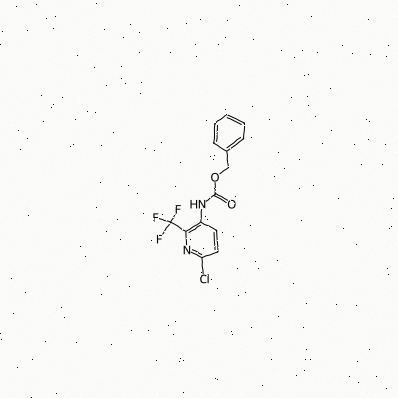 O=C(Nc1ccc(Cl)nc1C(F)(F)F)OCc1ccccc1